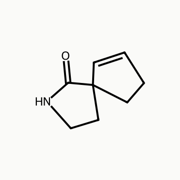 O=C1NCCC12C=CCC2